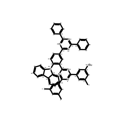 Cc1cc(I)cc(-c2nc(-c3cc(C)cc(C(C)(C)C)c3)nc(-c3cc(-c4nc(-c5ccccc5)nc(-c5ccccc5)n4)ccc3-n3c4ccccc4c4ccccc43)n2)c1